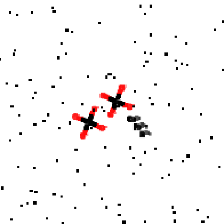 [Bi+3].[Ga+3].[O-][Si]([O-])([O-])[O-].[O-][Si]([O-])([O-])[O-].[Pb+2]